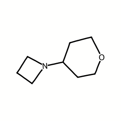 C1CN(C2CCOCC2)C1